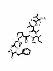 CC[C@H](C)[C@@H]([C@@H](CC(=O)N1CCC[C@H]1[C@H](OC)[C@@H](C)C(=O)N[C@@H](Cc1ccccc1)C(=O)OC)OC)N(C)C(=O)[C@@H](NC(=O)[C@@](C)(N)C(C)C)C(C)C